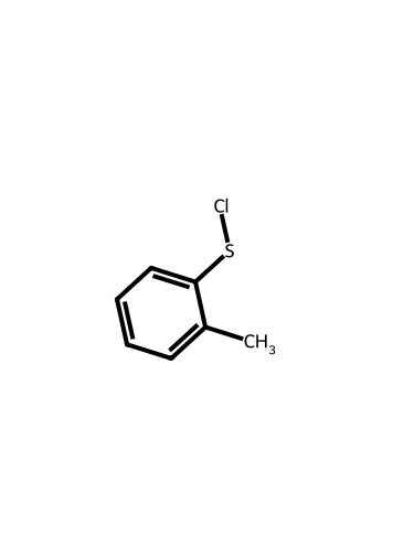 Cc1ccccc1SCl